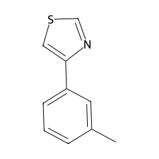 Cc1cccc(-c2cscn2)c1